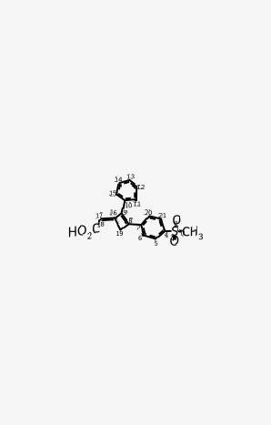 CS(=O)(=O)c1ccc(C2=C(c3ccccc3)C(=CC(=O)O)C2)cc1